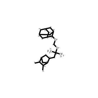 CC1C2CC(CC(OCOC3C4CC5CC(C4)CC3C5)(C(F)(F)F)C(F)(F)F)C(C2)C1C